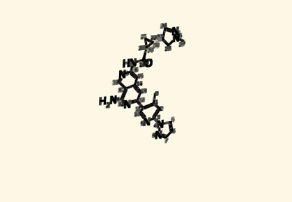 Cc1cc(-n2cccn2)ncc1-c1cc2cc(NC(=O)[C@H]3C[C@@H]3C3C=NN(C)C3)ncc2c(N)n1